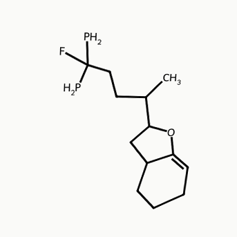 CC(CCC(F)(P)P)C1CC2CCCC=C2O1